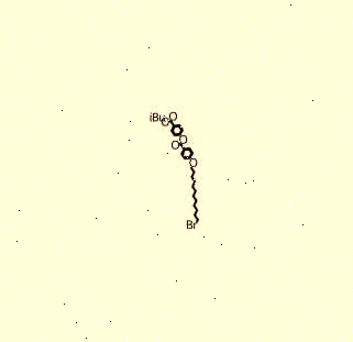 CCC(C)OC(=O)c1ccc(OC(=O)c2ccc(OCCCCCCCCCCCCBr)cc2)cc1